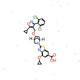 O=C(O)c1cc(OC2CC2)c2nc(N3C[C@@H]4C[C@H]3C[C@H]4OCc3c(-c4c(Cl)cccc4Cl)noc3C3CC3)sc2c1